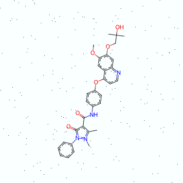 COc1cc2c(Oc3ccc(NC(=O)c4c(C)n(C)n(-c5ccccc5)c4=O)cc3)ccnc2cc1OCC(C)(C)O